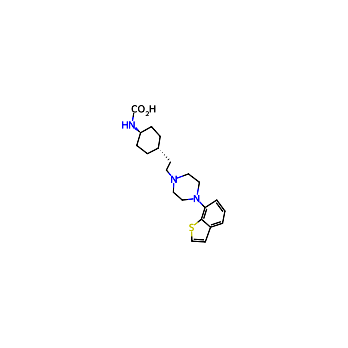 O=C(O)N[C@H]1CC[C@H](CCN2CCN(c3cccc4ccsc34)CC2)CC1